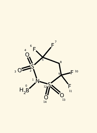 BN1S(=O)(=O)C(F)(F)CC(F)(F)S1(=O)=O